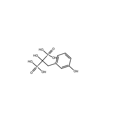 O=P(O)(O)C(O)(C[n+]1cccc(O)c1)P(=O)(O)O